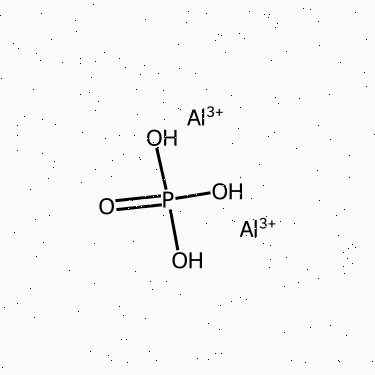 O=P(O)(O)O.[Al+3].[Al+3]